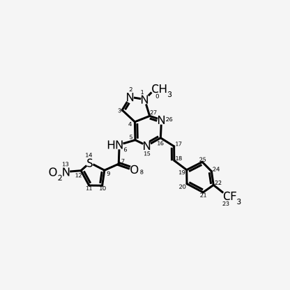 Cn1ncc2c(NC(=O)c3ccc([N+](=O)[O-])s3)nc(C=Cc3ccc(C(F)(F)F)cc3)nc21